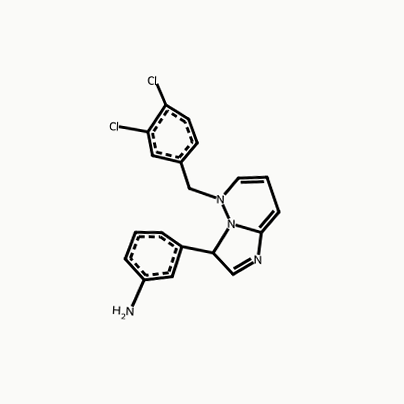 Nc1cccc(C2C=NC3=CC=CN(Cc4ccc(Cl)c(Cl)c4)N32)c1